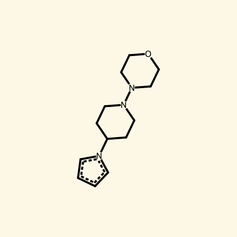 c1ccn(C2CCN(N3CCOCC3)CC2)c1